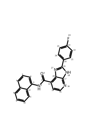 O=C(Nc1cccc2ccccc12)c1ccnc2[nH]c(-c3ccc(F)cc3)nc12